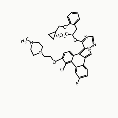 CN1CCN(CCOc2ccc3c(c2Cl)c2cc(F)ccc2c2cn4ncnc(O[C@H](Cc5ccccc5OCC5CC5)C(=O)O)c4c23)CC1